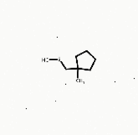 CC1(CSO)CCCC1